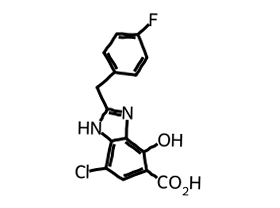 O=C(O)c1cc(Cl)c2[nH]c(Cc3ccc(F)cc3)nc2c1O